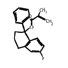 C=C(C)C(=O)OC1(c2ccccc2)CCCc2cc(F)ccc21